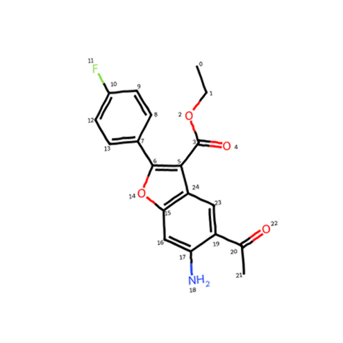 CCOC(=O)c1c(-c2ccc(F)cc2)oc2cc(N)c(C(C)=O)cc12